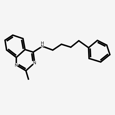 Cc1nc(NCCCCc2ccccc2)c2ccccc2n1